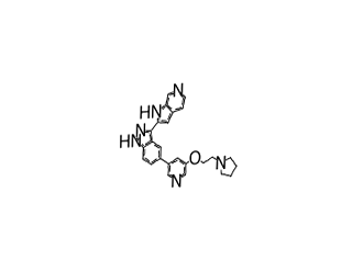 c1cc2cc(-c3n[nH]c4ccc(-c5cncc(OCCN6CCCC6)c5)cc34)[nH]c2cn1